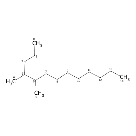 CC[CH]C(C)C(C)CCCCCCCC